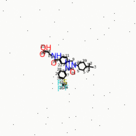 CC(C)(C)C1CCC(N(Cc2ccc(C(=O)NCCC(=O)O)cc2)C(=O)Nc2cccc(SC(F)(F)F)c2)CC1